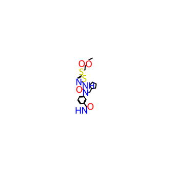 CCOC(=O)CSc1cnc(NC(=O)N(CC2CCCC2)c2cccc(C(=O)NC)c2)s1